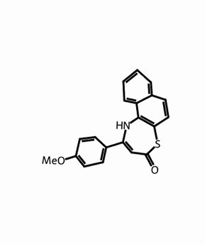 COc1ccc(C2=CC(=O)Sc3ccc4ccccc4c3N2)cc1